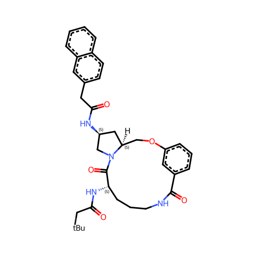 CC(C)(C)CC(=O)N[C@H]1CCCNC(=O)c2cccc(c2)OC[C@@H]2C[C@H](NC(=O)Cc3ccc4ccccc4c3)CN2C1=O